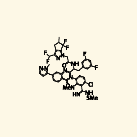 CNc1c(-n2c(C(Cc3cc(F)cc(F)c3)NC(=O)Cn3nc(C(F)F)c4c3C(F)(F)C(C)C4)nc3cc(-c4ccnn4C)ccc3c2=O)ccc(Cl)c1C(=N)NSC